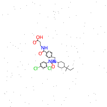 CCC(C)(C)C1CCC(N(Cc2ccc(C(=O)NCCC(=O)O)cc2)C(=O)Nc2ccc(Cl)cc2Cl)CC1